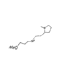 COCCCNCCC1CCCN1C